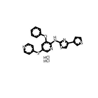 Cl.Cl.c1ccc(Oc2cc(Sc3ccncc3)cnc2Nc2nc(-c3ccsc3)cs2)cc1